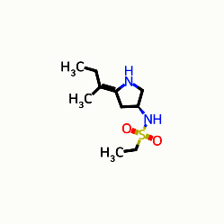 CC/C(C)=C1/C[C@H](NS(=O)(=O)CC)CN1